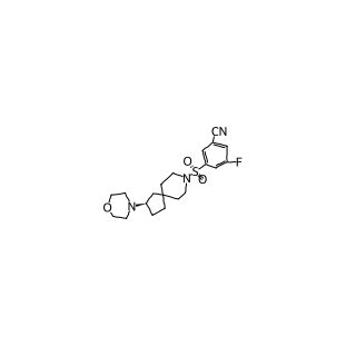 N#Cc1cc(F)cc(S(=O)(=O)N2CCC3(CC[C@@H](N4CCOCC4)C3)CC2)c1